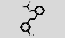 Oc1cccc(C=Cc2ccccc2OC(F)F)c1